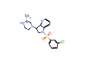 C[C@@H]1CN(C2CN(S(=O)(=O)c3cccc(Cl)c3)c3cccnc32)CCN1